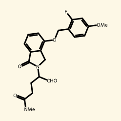 CNC(=O)CCC(C=O)N1Cc2c(OCc3ccc(OC)cc3F)cccc2C1=O